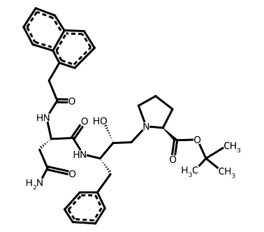 CC(C)(C)OC(=O)[C@@H]1CCCN1C[C@@H](O)[C@H](Cc1ccccc1)NC(=O)[C@H](CC(N)=O)NC(=O)Cc1cccc2ccccc12